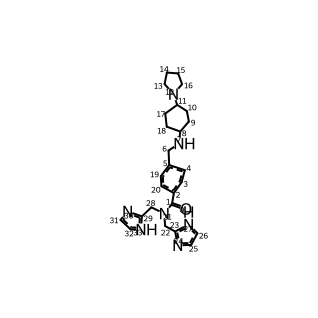 O=C(c1ccc(CNC2CCC(N3CCCC3)CC2)cc1)N(Cc1ncc[nH]1)Cc1ncc[nH]1